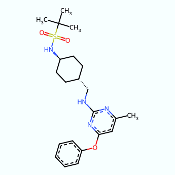 Cc1cc(Oc2ccccc2)nc(NC[C@H]2CC[C@H](NS(=O)(=O)C(C)(C)C)CC2)n1